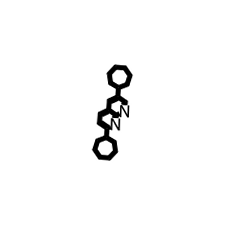 c1nc2nc(C3CCCCCC3)ccc2cc1C1CCCCCC1